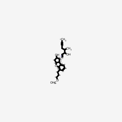 CC#CCC(C)C(O)/C=C/[C@H]1C(O)CC2Oc3c(CCCOC=O)cccc3C21